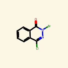 O=c1c2ccccc2c(Cl)nn1Br